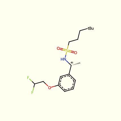 C[C@@H](NS(=O)(=O)CCCC(C)(C)C)c1cccc(OCC(F)F)c1